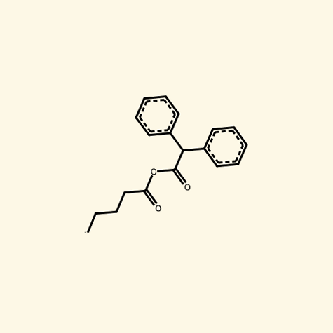 [CH2]CCCC(=O)OC(=O)C(c1ccccc1)c1ccccc1